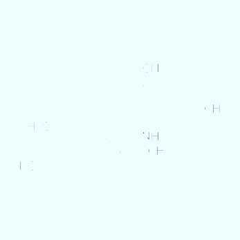 CCCC1C(C)C1CC1(NC)CC1CC1CCC(C)C1C